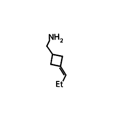 CCC=C1CC(CN)C1